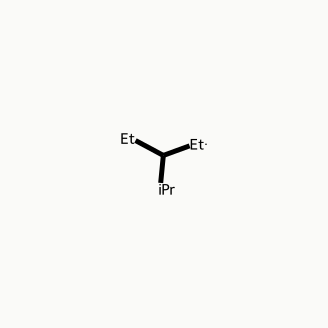 C[CH]C(CC)C(C)C